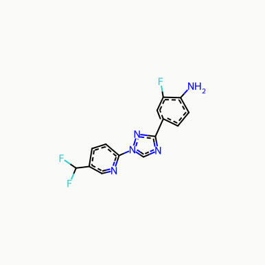 Nc1ccc(-c2ncn(-c3ccc(C(F)F)cn3)n2)cc1F